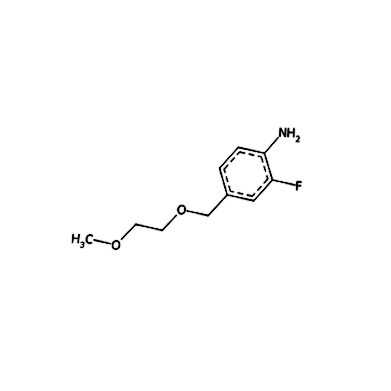 COCCOCc1ccc(N)c(F)c1